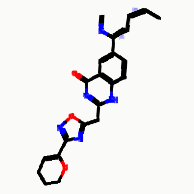 C=N/C(=C\C=C/C)c1ccc2[nH]c(Cc3nc(C4=CCCCO4)no3)nc(=O)c2c1